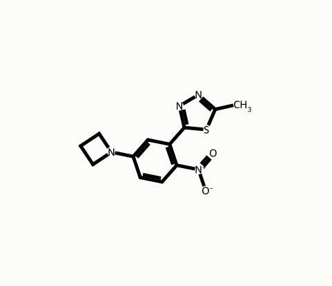 Cc1nnc(-c2cc(N3CCC3)ccc2[N+](=O)[O-])s1